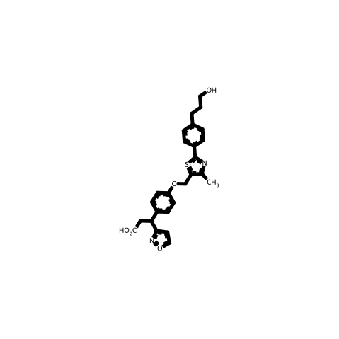 Cc1nc(-c2ccc(CCCO)cc2)sc1COc1ccc(C(CC(=O)O)c2ccon2)cc1